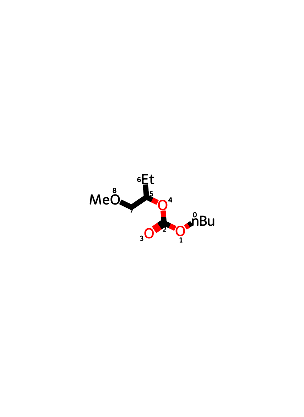 CCCCOC(=O)OC(CC)COC